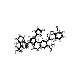 COc1cc2c(cc1C(=O)Nc1cccn(C)c1=O)-c1c(-c3cccs3)cc(C(=O)N3CCC[C@]3(C)[C@H](O)C(F)(F)F)n1CC2